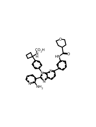 Nc1ncccc1-c1nc2ccc(-c3cccc(NC(=O)C4CCOCC4)c3)nc2n1-c1ccc(C2(NC(=O)O)CCC2)cc1